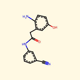 N#Cc1cccc(NC(=O)Cc2cc(O)ccc2N)c1